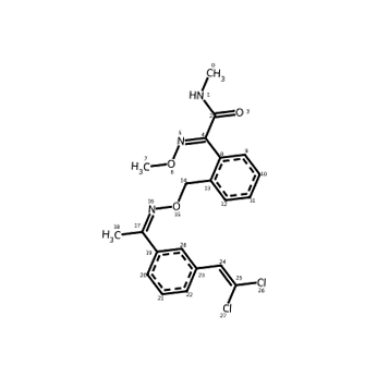 CNC(=O)/C(=N/OC)c1ccccc1CON=C(C)c1cccc(C=C(Cl)Cl)c1